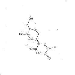 O=c1[nH]c(=O)n([C@@H]2COC(CO)[C@@H](O)[C@H]2F)cc1I